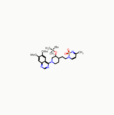 COc1cc2ncnc(N3CCC(CCN4C=CC(C)=NS4(=O)=O)C(O[Si](C)(C)C(C)(C)C)C3)c2cc1OC